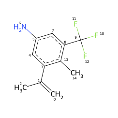 C=C(C)c1cc(N)cc(C(F)(F)F)c1C